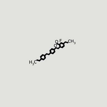 CCCc1ccc(CCc2ccc(C3Cc4ccc(CCC)c(F)c4C(=O)O3)cc2)cc1